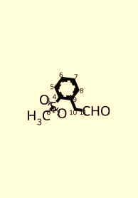 CS(=O)(=O)c1ccccc1CC=O